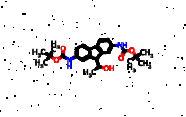 CC(O)C1c2cc(NC(=O)OC(C)(C)C)ccc2-c2ccc(NC(=O)OC(C)(C)C)cc21